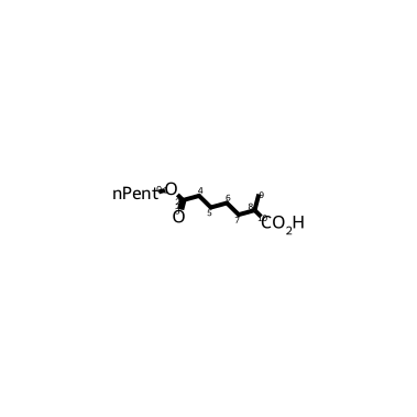 CCCCCOC(=O)CCCCC(C)C(=O)O